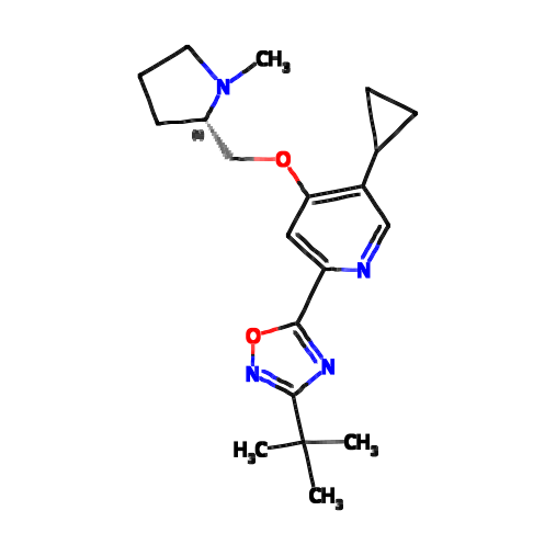 CN1CCC[C@H]1COc1cc(-c2nc(C(C)(C)C)no2)ncc1C1CC1